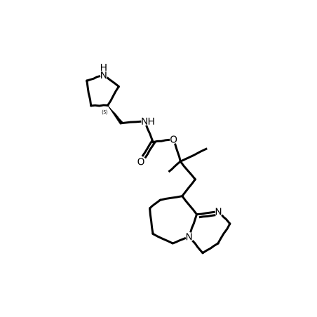 CC(C)(CC1CCCCN2CCCN=C12)OC(=O)NC[C@H]1CCNC1